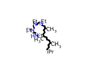 CCNCCN(CC)CCN(CC)CCN(CC)CC=C(C)CCCC(C)CCCC(C)CCCC(C)C